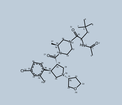 CC(=O)NC(CC(C)(C)C)C(=O)N1CCN(C(=O)[C@@H]2CN([C@@H]3CCOC3)C[C@H]2c2ccc(Cl)cc2F)[C@@H](C)C1